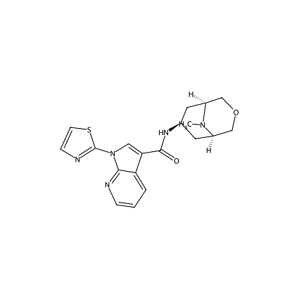 CN1[C@@H]2COC[C@H]1C[C@@H](NC(=O)c1cn(-c3nccs3)c3ncccc13)C2